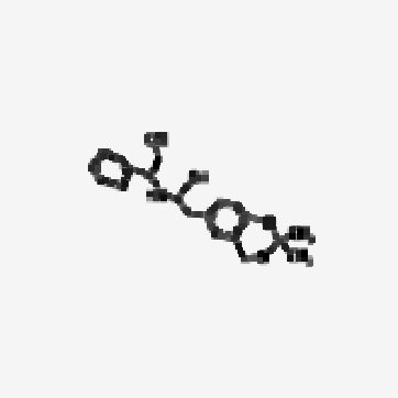 CC1(C)OCc2cc(CC(O)N[C@H](CO)c3ccccc3)ccc2O1